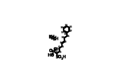 O=P(O)(O)C(CCC/C=C/CCc1ccccc1)S(=O)(=O)O.[KH].[KH].[KH]